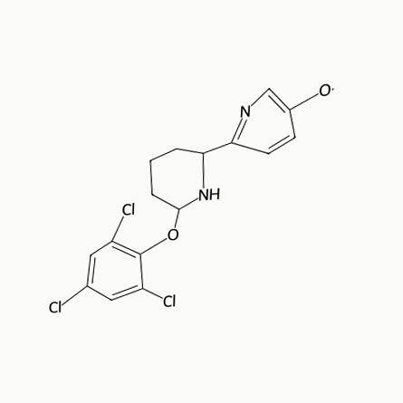 [O]c1ccc(C2CCCC(Oc3c(Cl)cc(Cl)cc3Cl)N2)nc1